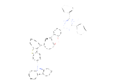 C1=CCCC(C2NC(C3=CCCC=C3)=NC(c3ccc4c(c3)oc3ccc(-c5cccc6sc7cc(-n8c9ccccc9c9ccccc98)ccc7c56)cc34)N2)=C1